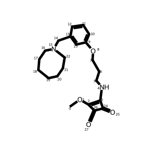 COc1c(NCCCOc2cccc(CN3CCCCCCC3)c2)c(=O)c1=O